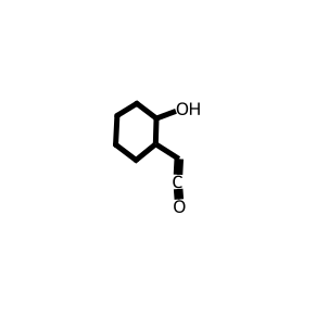 O=C=CC1CCCCC1O